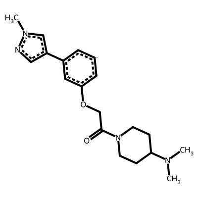 CN(C)C1CCN(C(=O)COc2c[c]cc(-c3cnn(C)c3)c2)CC1